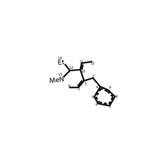 C/C=C(Cc1ccccc1)\C(=C/C)C(CC)NC